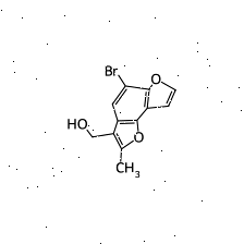 Cc1oc2c(cc(Br)c3occc32)c1CO